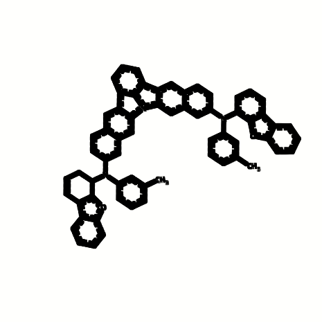 Cc1cccc(N(c2ccc3cc4c5cccc6c7cc8ccc(N(c9cccc(C)c9)C9CC=Cc%10c9oc9ccccc%109)cc8cc7n(c4cc3c2)c56)c2cccc3c2oc2ccccc23)c1